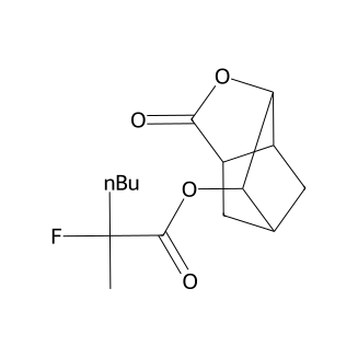 CCCCC(C)(F)C(=O)OC1C2CC3C(=O)OC1C3C2